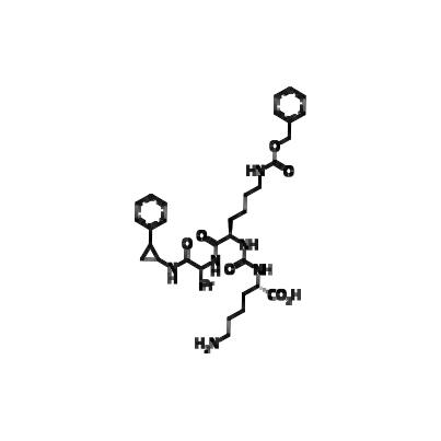 CC(C)C(NC(=O)[C@@H](CCCCNC(=O)OCc1ccccc1)NC(=O)N[C@@H](CCCCN)C(=O)O)C(=O)NC1CC1c1ccccc1